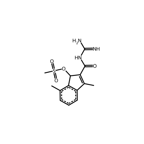 CC1=C(C(=O)NC(=N)N)C(OS(C)(=O)=O)c2c(C)cccc21